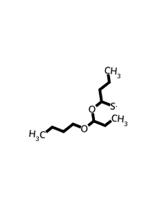 CCCCOC(CC)OC([S])CCC